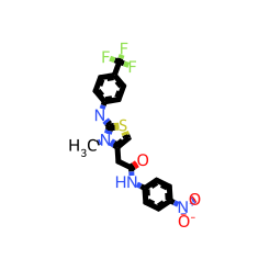 Cn1c(CC(=O)Nc2ccc([N+](=O)[O-])cc2)csc1=Nc1ccc(C(F)(F)F)cc1